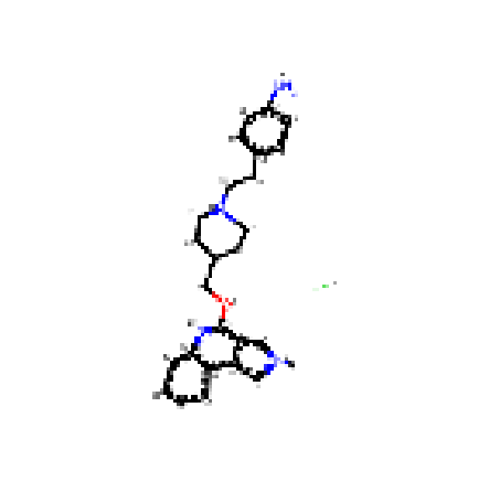 Cl.Cn1cc2c(OCC3CCN(CCc4ccc(N)cc4)CC3)nc3ccccc3c2c1